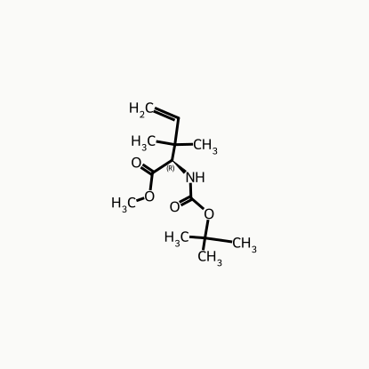 C=CC(C)(C)[C@@H](NC(=O)OC(C)(C)C)C(=O)OC